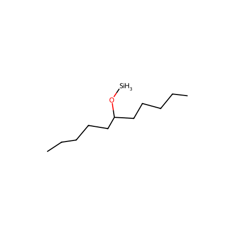 CCCCCC(CCCCC)O[SiH3]